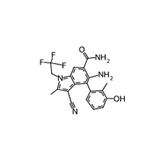 Cc1c(O)cccc1-c1c(N)c(C(N)=O)cc2c1c(C#N)c(C)n2CC(F)(F)F